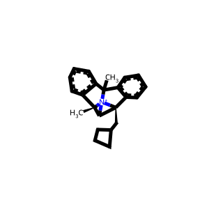 CC12c3ccccc3[C@@]3(C)C4[C@@](CC5CCC5)(c5ccccc51)[N+]423